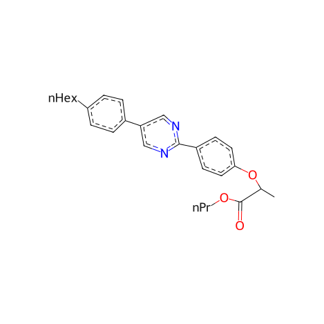 CCCCCCc1ccc(-c2cnc(-c3ccc(OC(C)C(=O)OCCC)cc3)nc2)cc1